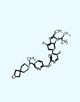 Cc1nc2c(F)cc(-c3nc(Nc4ccc([C@H](C)N5CCC6(CC5)COC6)cn4)ncc3F)cc2n1C(C)C